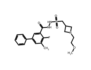 COCCN1CC(CS(=O)(=O)NNC(=O)c2cc(-c3ccccc3)cc(C)c2F)C1